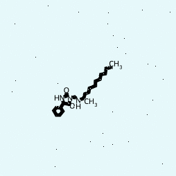 CCCCCCCCCCCC(C)NCN1C(=O)NC(C2CCCCC2)C1=O